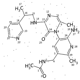 CC(=O)NCc1cc(-n2c(C)cnc(NCC(C)c3cccnc3)c2=O)c(N)nc1C